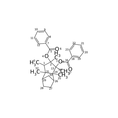 CC1C(C)(OC(=O)c2ccccc2)C(C)(OC(=O)c2ccccc2)C2(C)C3CCC(C3)C12C